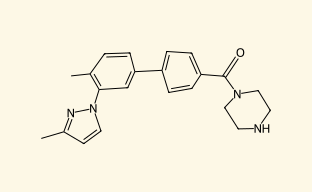 Cc1ccn(-c2cc(-c3ccc(C(=O)N4CCNCC4)cc3)ccc2C)n1